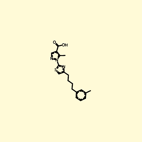 Cc1cccc(CCCCc2csc(-n3ncc(C(=O)O)c3C)n2)c1